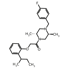 CCC(C)c1ccccc1OCC(=O)N1C[C@H](C)N(Cc2ccc(F)cc2)C[C@H]1C